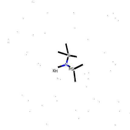 CN([SiH](C)C)[Si](C)(C)C.[KH]